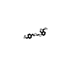 CC(C)Cc1cccc(OCCOCCc2ccc(CN(C)C)cc2)c1CC(C)C